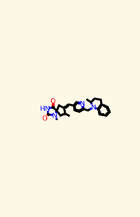 CC1CC2(C/C1=C/c1ccc(CN3c4ccccc4CCC3C)nc1)C(=O)NC(=O)N2C